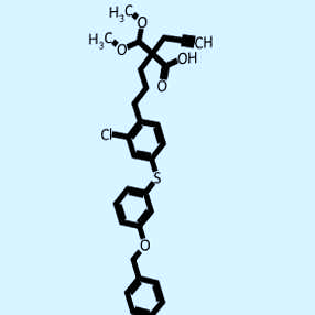 C#CCC(CCCc1ccc(Sc2cccc(OCc3ccccc3)c2)cc1Cl)(C(=O)O)C(OC)OC